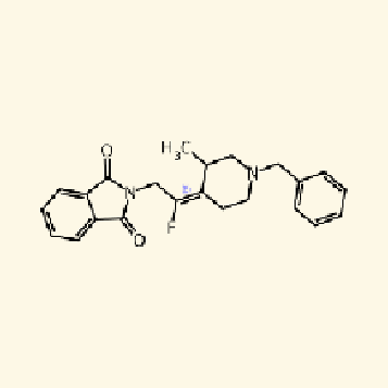 CC1CN(Cc2ccccc2)CC/C1=C(\F)CN1C(=O)c2ccccc2C1=O